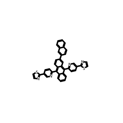 c1ccc2cc(-c3ccc4c(-c5ccc(-c6nccs6)cn5)c5ccccc5c(-c5ccc(-c6nccs6)cn5)c4c3)ccc2c1